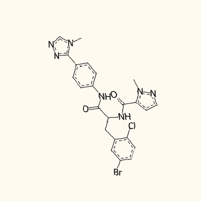 Cn1cnnc1-c1ccc(NC(=O)C(Cc2cc(Br)ccc2Cl)NC(=O)c2ccnn2C)cc1